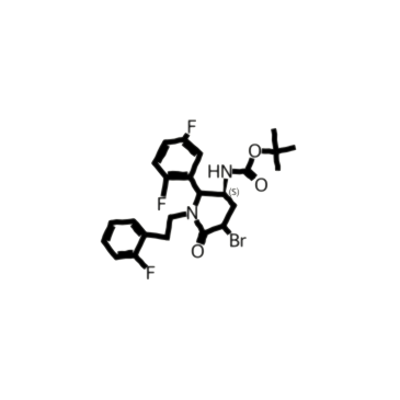 CC(C)(C)OC(=O)N[C@H]1CC(Br)C(=O)N(CCc2ccccc2F)C1c1cc(F)ccc1F